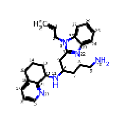 C=CCn1c(CC(CCCN)NC2CCCc3cccnc32)nc2ccccc21